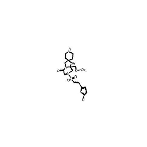 COCC12CN(S(=O)(=O)C=Cc3ccc(Cl)s3)CC(=O)N1CC1(CCNCC1)N2